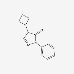 O=C1C(C2CCC2)C=NN1c1ccccc1